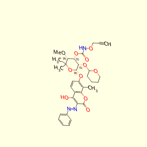 C#CCONC(=O)O[C@@H]1[C@H](OC2CCCCO2)[C@H](Oc2ccc3c(O)c(N=Nc4ccccc4)c(=O)oc3c2C)OC(C)(C)[C@@H]1OC